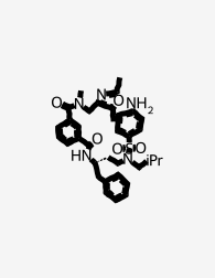 Cc1nc(CN(C)C(=O)c2cccc(C(=O)N[C@H](CCN(CC(C)C)S(=O)(=O)c3ccc(N)cc3)Cc3ccccc3)c2)c(C)o1